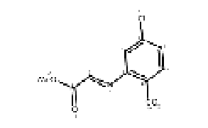 COC(=O)C=Nc1cc(Cl)ccc1C(=O)O